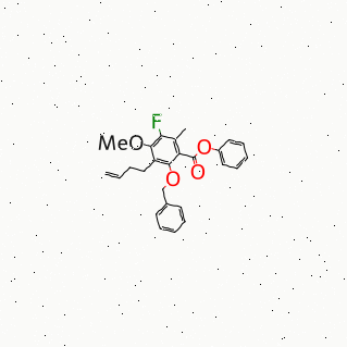 C=CCCc1c(OC)c(F)c(C)c(C(=O)Oc2ccccc2)c1OCc1ccccc1